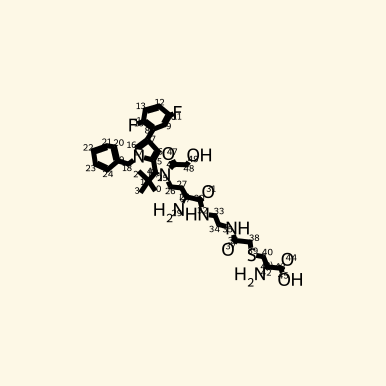 CC(C)(C)[C@H](c1cc(-c2cc(F)ccc2F)cn1Cc1ccccc1)N(CC[C@H](N)C(=O)NCCNC(=O)CSC[C@H](N)C(=O)O)C(=O)CO